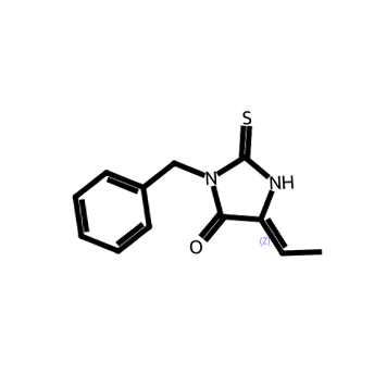 C/C=C1\NC(=S)N(Cc2ccccc2)C1=O